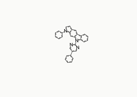 c1ccc(-c2cnc(-n3c4ccccc4c4cc5ccn(-c6ccccc6)c5cc43)nc2)cc1